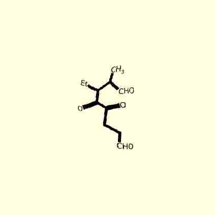 CCC(C(=O)C(=O)CCC=O)C(C)C=O